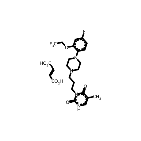 Cc1c[nH]c(=O)n(CCCN2CCN(c3ccc(F)cc3OCC(F)(F)F)CC2)c1=O.O=C(O)/C=C/C(=O)O